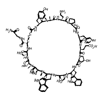 CCCC[C@H]1C(=O)N(C)[C@@H](CCCC)C(=O)N[C@@H](CO)C(=O)N[C@H](C(=O)NCC(N)=O)CSCC(=O)N[C@@H](Cc2ccc(O)cc2)C(=O)N(C)[C@@H](C)C(=O)N[C@@H](CCN)C(=O)N2CCC[C@H]2C(=O)N[C@@H](Cc2c[nH]cn2)C(=O)N[C@@H](CCC(=O)O)C(=O)N2C[C@H](O)C[C@H]2C(=O)N[C@@H](Cc2c[nH]c3ccccc23)C(=O)N[C@@H](CO)C(=O)N[C@@H](Cc2c[nH]c3ccccc23)C(=O)N1C